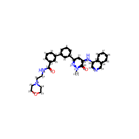 CCn1nc(-c2cccc(-c3cccc(C(=O)NCCN4CCOCC4)c3)c2)cc(Nc2cncc3ccccc23)c1=O